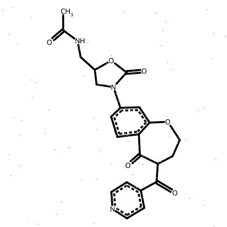 CC(=O)NCC1CN(c2ccc3c(c2)OCCC(C(=O)c2ccncc2)C3=O)C(=O)O1